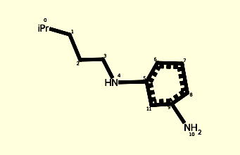 CC(C)CCCNc1cccc(N)c1